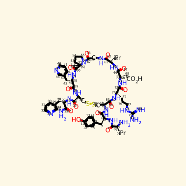 CC(C)[C@H](N)C(=O)N[C@@H](Cc1ccc(O)cc1)C(=O)N[C@H]1CSSC[C@@H](C(=O)N[C@@H](Cc2cccnc2)C(N)=O)NC(=O)[C@H](Cc2cccnc2)NC(=O)[C@@H]2CCCN2C(=O)CNC(=O)[C@H](C(C)C)NC(=O)[C@H](CC(=O)O)NC(=O)[C@H](CCCNC(=N)N)NC1=O